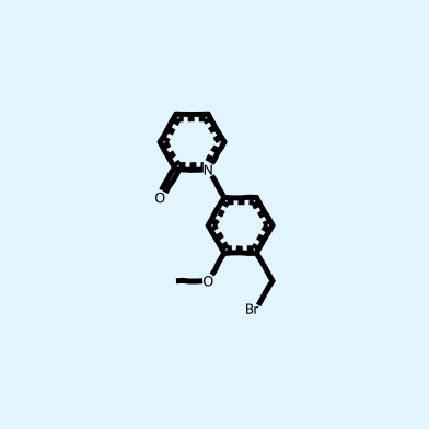 COc1cc(-n2ccccc2=O)ccc1CBr